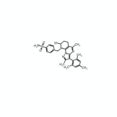 CCC1CCc2c(C)nc3c(-c4c(C)cc(C)cc4C)c(C)nn3c2N1Cc1ccc(S(N)(=O)=O)cc1